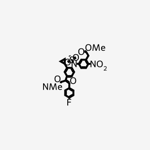 CNC(=O)c1c(-c2ccc(F)cc2)oc2cc(N(c3ccc([N+](=O)[O-])c(CC(=O)OC)c3)S(C)(=O)=O)c(C3CC3)cc12